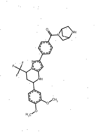 COc1ccc(C2CC(C(F)(F)F)n3nc(-c4ccc(C(=O)N5CC6CC5CN6)cc4)cc3N2)cc1OC